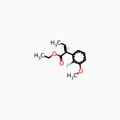 C/C=C(\C(=O)OCC)c1cccc(OC)c1F